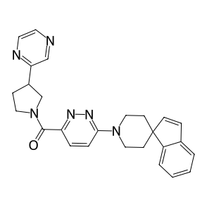 O=C(c1ccc(N2CCC3(C=Cc4ccccc43)CC2)nn1)N1CCC(c2cnccn2)C1